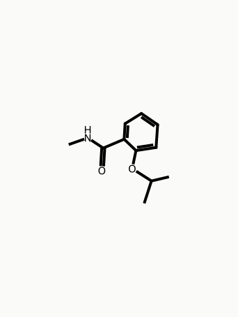 CNC(=O)c1ccccc1OC(C)C